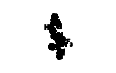 O=C(NS(=O)(=O)c1ccc(N[C@H](CCN(CC2CCCC2)C2CC2)CSc2ccccc2)c(S(=O)(=O)C(F)(F)F)c1)c1ccc(NCCNCC2=C(c3ccc(Cl)cc3)CCCC2)cc1